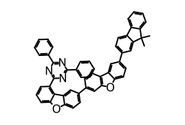 CC1(C)c2ccccc2-c2ccc(-c3ccc4oc5cc(-c6ccc7oc8cccc(-c9nc(-c%10ccccc%10)nc(-c%10ccccc%10)n9)c8c7c6)ccc5c4c3)cc21